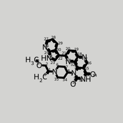 C=C(COC)N1CCC(n2c(=O)[nH]c(=O)c3cnc4ccc(-c5c[nH]c6ncccc56)nc4c32)CC1